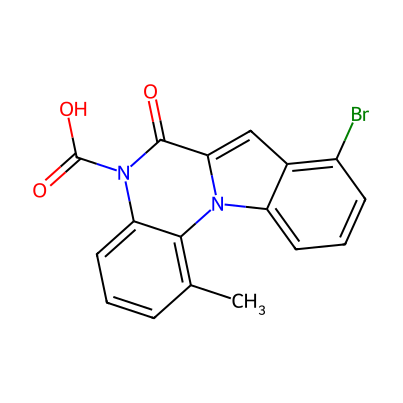 Cc1cccc2c1n1c(cc3c(Br)cccc31)c(=O)n2C(=O)O